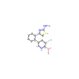 CNc1nc(-c2ccccc2-c2cnc(OC)c(F)c2)cs1